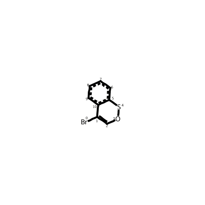 BrC1=COSc2ccccc21